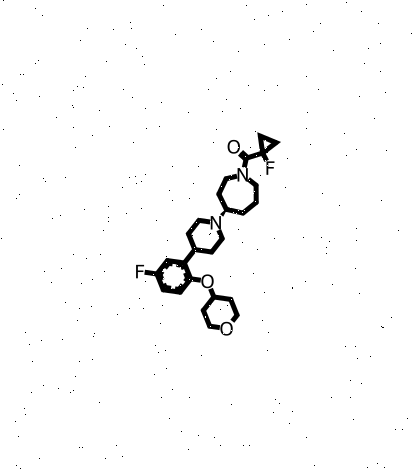 O=C(N1CCC[C@@H](N2CCC(c3cc(F)ccc3OC3CCOCC3)CC2)CC1)C1(F)CC1